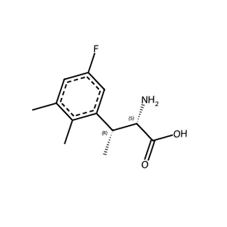 Cc1cc(F)cc([C@@H](C)[C@H](N)C(=O)O)c1C